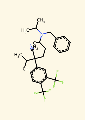 CC(C)N(Cc1ccccc1)C(C)CCC(C#N)(c1ccc(C(F)(F)F)c(C(F)(F)F)c1)C(C)C